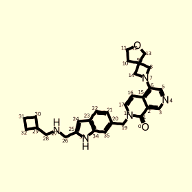 O=c1c2cncc(N3CC4(CCOC4)C3)c2ccn1Cc1ccc2cc(CNCC3CCC3)[nH]c2c1